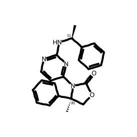 C[C@H](Nc1nccc(N2C(=O)OC[C@@]2(C)c2ccccc2)n1)c1ccccc1